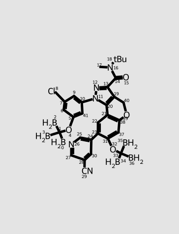 BC(B)(B)Oc1cc(Cl)cc(-n2nc(C(=O)N(C)C(C)(C)C)c3c2-c2cc(-c4cncc(C#N)c4)c(OC(B)(B)B)cc2OC3)c1